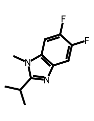 CC(C)c1nc2cc(F)c(F)cc2n1C